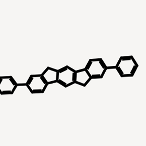 c1ccc(-c2ccc3c(c2)Cc2cc4c(cc2-3)Cc2cc(-c3ccccc3)ccc2-4)cc1